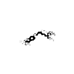 CCC(CC)(CCCC(C)=CCOc1ccc2c(c1)OC(C)(C)C2)OC